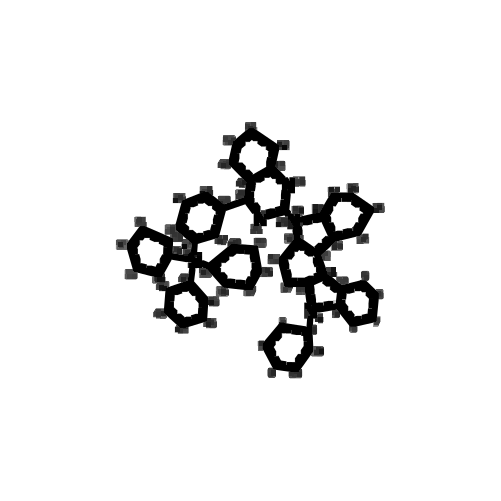 c1ccc(-n2c3ccccc3c3c4c5ccccc5n(-c5nc(-c6cccc([Si](c7ccccc7)(c7ccccc7)c7ccccc7)c6)c6ccccc6n5)c4ccc32)cc1